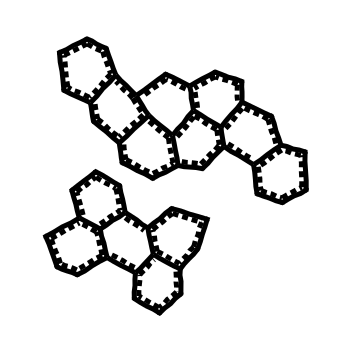 c1cc2cccc3c4cccc5cccc(c(c1)c23)c54.c1ccc2c(c1)cc1ccc3cc4c5ccccc5cc5ccc6cc2c1c3c6c54